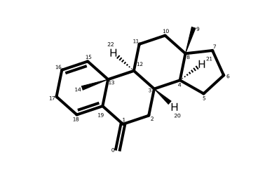 C=C1C[C@H]2[C@@H]3CCC[C@@]3(C)CC[C@@H]2[C@@]2(C)C=CCC=C12